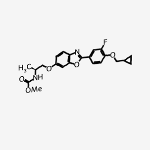 COC(=O)N[C@@H](C)COc1ccc2nc(-c3ccc(OCC4CC4)c(F)c3)oc2c1